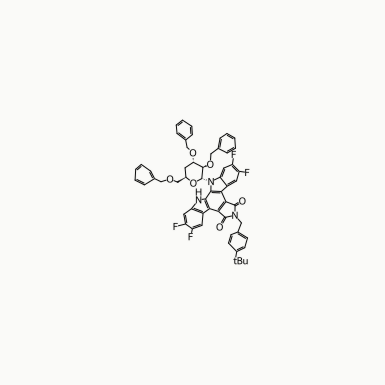 CC(C)(C)c1ccc(CN2C(=O)c3c(c4c5cc(F)c(F)cc5n([C@@H]5O[C@@H](COCc6ccccc6)C[C@H](OCc6ccccc6)[C@H]5OCc5ccccc5)c4c4[nH]c5cc(F)c(F)cc5c34)C2=O)cc1